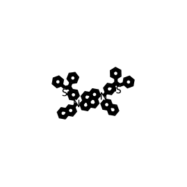 c1ccc(-c2sc3cc(N(c4ccc5ccccc5c4)c4ccc5ccc6c(N(c7ccc8ccccc8c7)c7ccc8c(-c9ccccc9)c(-c9ccccc9)sc8c7)ccc7ccc4c5c76)ccc3c2-c2ccccc2)cc1